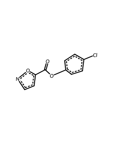 O=C(Oc1ccc(Cl)cc1)c1ccno1